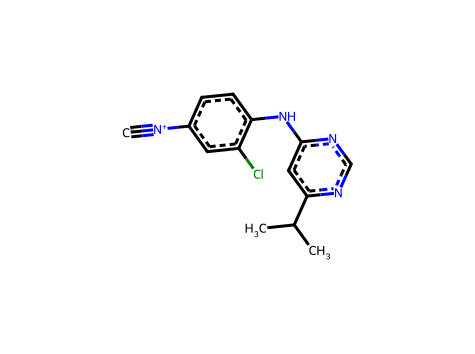 [C-]#[N+]c1ccc(Nc2cc(C(C)C)ncn2)c(Cl)c1